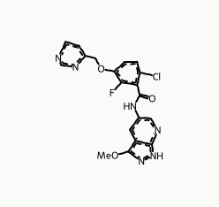 COc1n[nH]c2ncc(NC(=O)c3c(Cl)ccc(OCc4ccncn4)c3F)cc12